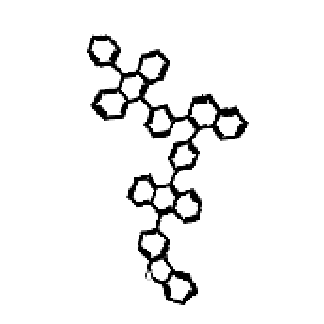 c1ccc(-c2c3ccccc3c(-c3cccc(-c4ccc5ccccc5c4-c4ccc(-c5c6ccccc6c(-c6ccc7oc8ccccc8c7c6)c6ccccc56)cc4)c3)c3ccccc23)cc1